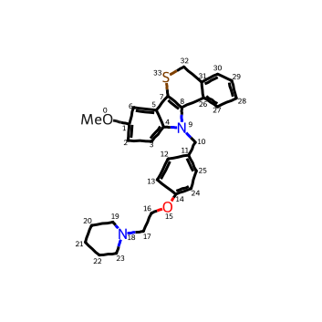 COc1ccc2c(c1)c1c(n2Cc2ccc(OCCN3CCCCC3)cc2)-c2ccccc2CS1